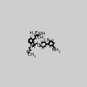 COCCn1cc(CON2CCC(c3cc(CN)ccc3F)CC2)c2c(CCC(C)(C)O)cccc21